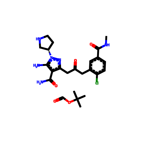 CC(C)(C)OC=O.CNC(=O)c1ccc(Cl)c(CC(=O)Cc2nn([C@H]3CCNC3)c(N)c2C(N)=O)c1